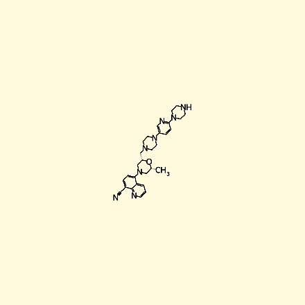 C[C@@H]1CN(c2ccc(C#N)c3ncccc23)C[C@H](CN2CCN(c3ccc(N4CCNCC4)nc3)CC2)O1